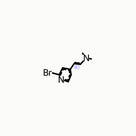 CN(C)/C=C/c1ccnc(Br)c1